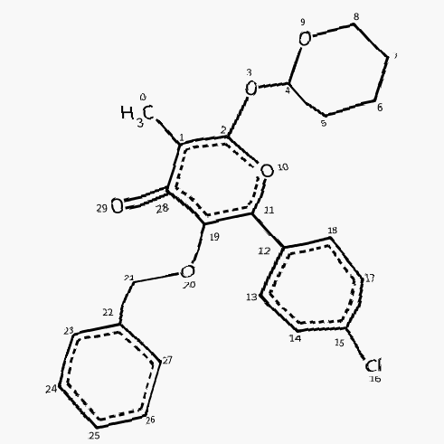 Cc1c(OC2CCCCO2)oc(-c2ccc(Cl)cc2)c(OCc2ccccc2)c1=O